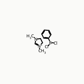 CN1C=[N+](C)CC1.ClB(Cl)c1ccccc1